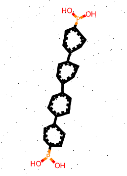 OP(O)c1ccc(-c2ccc(-c3ccc(-c4ccc(P(O)O)cc4)cc3)cc2)cc1